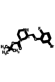 CC(C)(C)OC(=O)N1CCN[C@@H](COc2cc(Br)ccc2F)C1